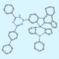 c1ccc(C2=NC(c3ccc(-c4ccccc4)cc3)=NC(c3ccc4c(c3)C3(c5ccccc5N(c5ccccc5)c5ccccc53)c3c-4c4ccccc4c4ccccc34)N2)cc1